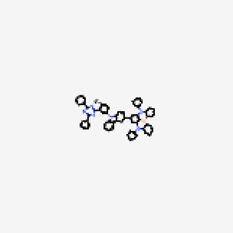 N#Cc1ccc(-n2c3ccccc3c3cc(-c4cc5c6c(c4)N(c4ccccc4)c4ccccc4B6c4ccccc4N5c4ccccc4)ccc32)cc1-c1nc(-c2ccccc2)nc(-c2ccccc2)n1